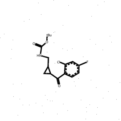 CC(C)(C)OC(=O)NCC1CC1C(=O)c1ccc(F)cc1Cl